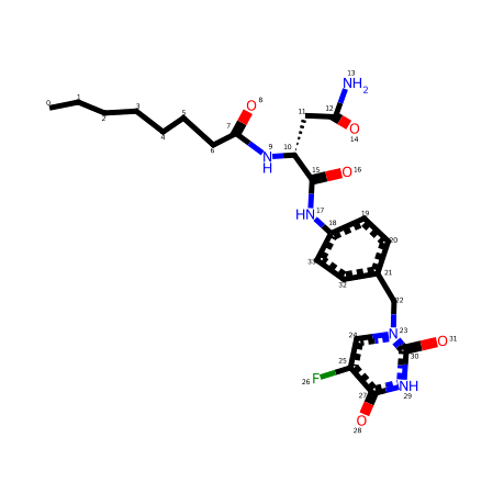 CCCCCCCC(=O)N[C@H](CC(N)=O)C(=O)Nc1ccc(Cn2cc(F)c(=O)[nH]c2=O)cc1